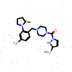 C[C@@H]1CCCN1c1cc(C(F)(F)F)ccc1CN1CCN(C(=O)N2C=CC(C(=O)O)N2)CC1